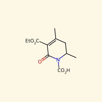 CCOC(=O)C1=C(C)CC(C)N(C(=O)O)C1=O